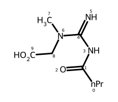 CCCC(=O)NC(=N)N(C)CC(=O)O